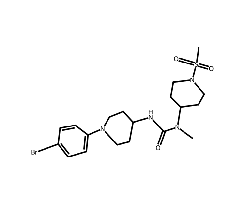 CN(C(=O)NC1CCN(c2ccc(Br)cc2)CC1)C1CCN(S(C)(=O)=O)CC1